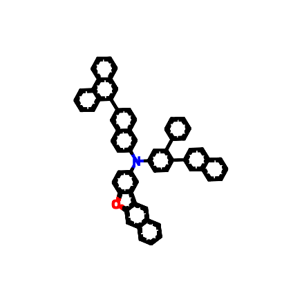 c1ccc(-c2cc(N(c3ccc4cc(-c5cc6ccccc6c6ccccc56)ccc4c3)c3ccc4oc5cc6ccccc6cc5c4c3)ccc2-c2ccc3ccccc3c2)cc1